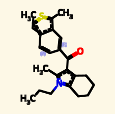 CCC/C=C\C(=C/c1ccsc1C)C(=O)c1c2c(n(CCC)c1C)CCCC2